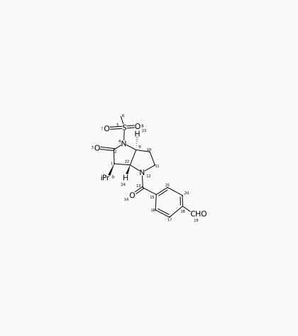 CC(C)[C@H]1C(=O)N(S(C)(=O)=O)[C@H]2CCN(C(=O)c3ccc(C=O)cc3)[C@H]12